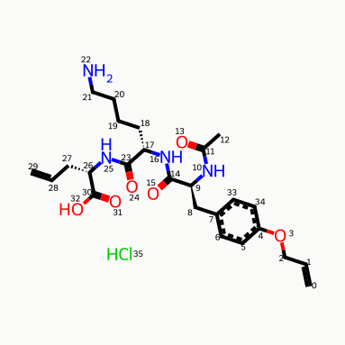 C=CCOc1ccc(C[C@H](NC(C)=O)C(=O)N[C@@H](CCCCN)C(=O)N[C@@H](CC=C)C(=O)O)cc1.Cl